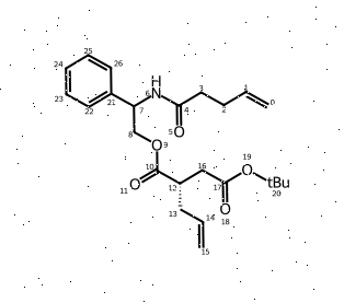 C=CCCC(=O)NC(COC(=O)[C@@H](CC=C)CC(=O)OC(C)(C)C)c1ccccc1